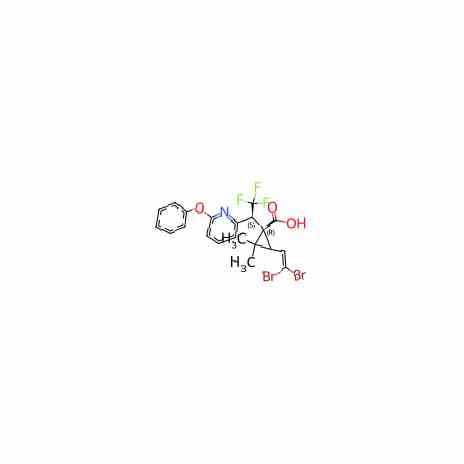 CC1(C)C(C=C(Br)Br)[C@@]1(C(=O)O)[C@@H](c1cccc(Oc2ccccc2)n1)C(F)(F)F